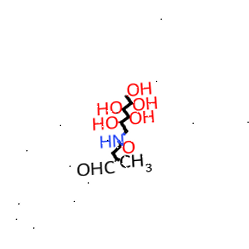 C[C@H](C=O)CC(=O)NC[C@H](O)[C@@H](O)[C@H](O)[C@H](O)CO